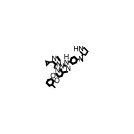 Cc1ccccc1Oc1cc2cnc(Nc3ccc(N(C)C4CCCNC4)cc3)nc2n(Cc2nccnc2C2CC2)c1=O